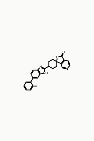 O=C1OC2(CCC(c3nc4cnc(-c5ccccc5F)cc4[nH]3)CC2)c2cnccc21